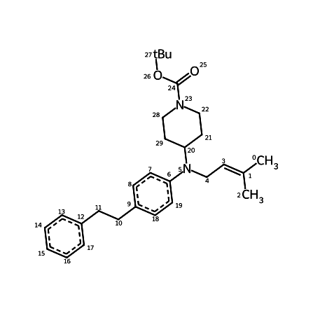 CC(C)=CCN(c1ccc(CCc2ccccc2)cc1)C1CCN(C(=O)OC(C)(C)C)CC1